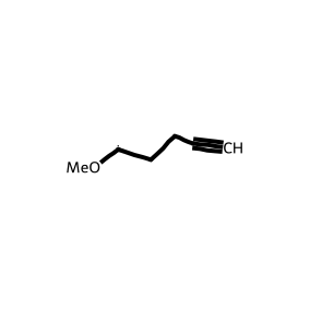 C#CCC[CH]OC